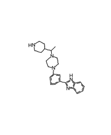 CC(C1CCNCC1)N1CCN(c2cccc(-c3nc4ccccc4[nH]3)c2)CC1